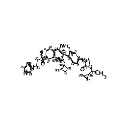 CC(OC(=O)Nc1ccc(-c2c(N)c3ccc(S(=O)(=O)CCn4cncn4)cc3n2C2CCC2)cc1)C1CC1